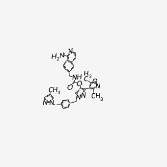 Cc1cnn(Cc2ccc(Cn3cc(OC(=O)NCc4ccc5c(N)nccc5c4)c(-c4c(C)noc4C)n3)cc2)c1